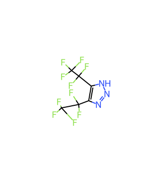 FC(F)(F)C(F)(F)c1nn[nH]c1C(F)(F)C(F)(F)F